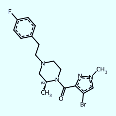 C[C@H]1CN(CCc2ccc(F)cc2)CCN1C(=O)c1nn(C)cc1Br